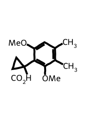 COc1cc(C)c(C)c(OC)c1C1(C(=O)O)CC1